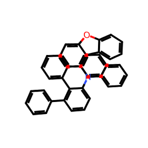 c1ccc(-c2ccccc2-c2c(-c3ccccc3)cccc2N(c2ccccc2)c2cccc3oc4ccccc4c23)cc1